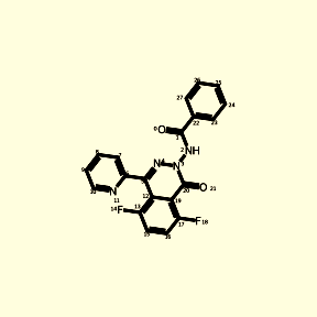 O=C(Nn1nc(-c2ccccn2)c2c(F)ccc(F)c2c1=O)c1ccccc1